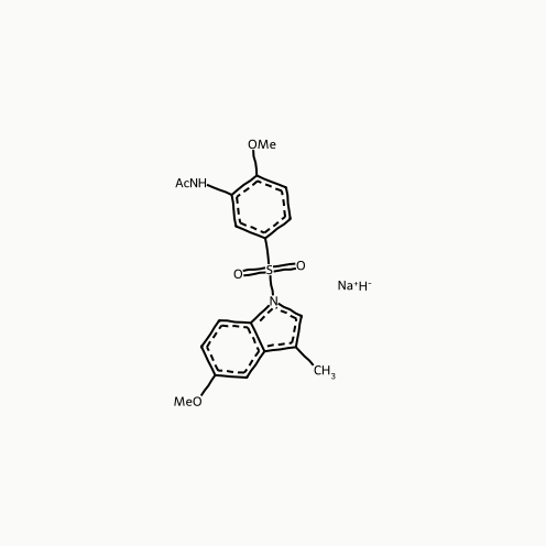 COc1ccc2c(c1)c(C)cn2S(=O)(=O)c1ccc(OC)c(NC(C)=O)c1.[H-].[Na+]